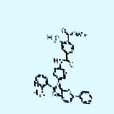 COC(=O)c1ccc(C(=O)Nc2ccc(-n3c(-c4cccnc4N)nc4ccc(-c5ccccc5)nc43)cn2)cc1C